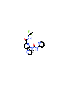 CC(F)(F)CNC(=O)c1ccc2c(n1)N(C(=O)Nc1ccccn1)[C@H]1CCN2C1